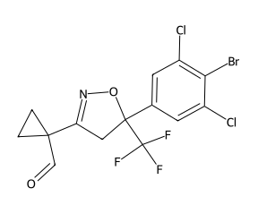 O=CC1(C2=NOC(c3cc(Cl)c(Br)c(Cl)c3)(C(F)(F)F)C2)CC1